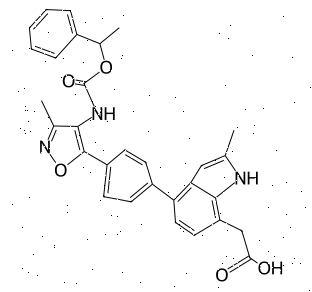 Cc1cc2c(-c3ccc(-c4onc(C)c4NC(=O)OC(C)c4ccccc4)cc3)ccc(CC(=O)O)c2[nH]1